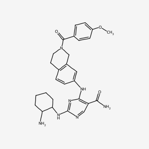 COc1ccc(C(=O)N2CCc3ccc(Nc4nc(NC5CCCCC5N)ncc4C(N)=O)cc3C2)cc1